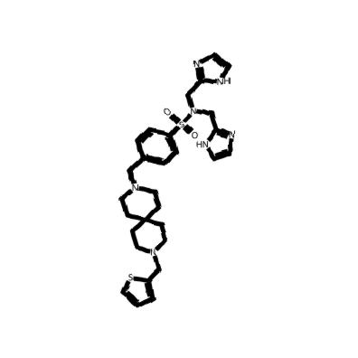 O=S(=O)(c1ccc(CN2CCC3(CC2)CCN(Cc2cccs2)CC3)cc1)N(Cc1ncc[nH]1)Cc1ncc[nH]1